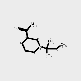 CCC(C)(C)N1CCCC(C(N)=O)C1